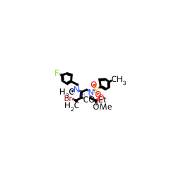 C=C(Br)/C(C(=O)OCC)=C(/CN(CC(=O)OC)S(=O)(=O)c1ccc(C)cc1)N(C)Cc1ccc(F)cc1